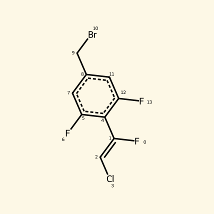 FC(=CCl)c1c(F)cc(CBr)cc1F